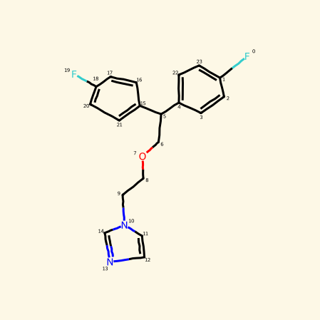 Fc1ccc(C(COCCn2ccnc2)c2ccc(F)cc2)cc1